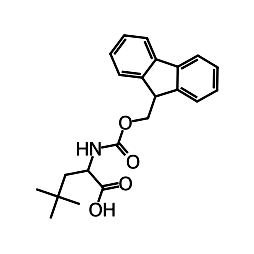 CC(C)(C)CC(NC(=O)OCC1c2ccccc2-c2ccccc21)C(=O)O